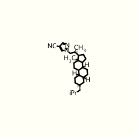 CC(C)C[C@H]1CC[C@@H]2C3CC[C@@]4(C)C(CCC4[C@@H](C)Cn4cc(C#N)cn4)[C@@H]3CC[C@@H]2C1